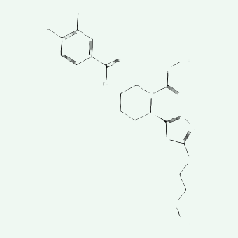 Cc1cc(C(=O)N[C@H]2CC[C@H](c3nnc(OCCOC(F)(F)F)o3)N(C(=O)OC(C)(C)C)C2)ccc1Cl